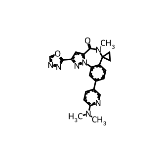 CN(C)c1ccc(-c2ccc3c(c2)-n2nc(-c4nnco4)cc2C(=O)N(C)C32CC2)cn1